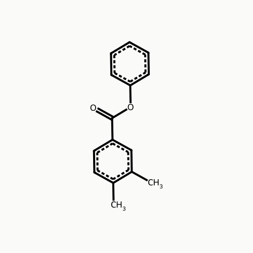 Cc1ccc(C(=O)Oc2ccccc2)cc1C